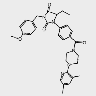 CCC1C(=O)N(Cc2ccc(OC)cc2)C(=O)N1c1ccc(C(=O)N2CCN(c3ncc(C)cc3C)CC2)cc1